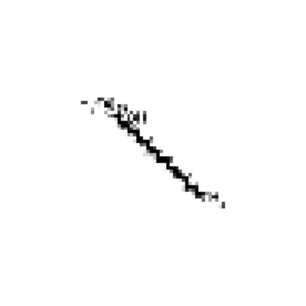 CCCCCCCCCCCCCCCCC(O)CC(=O)OCC